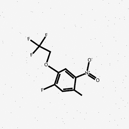 Cc1cc(F)c(OCC(F)(F)F)cc1[N+](=O)[O-]